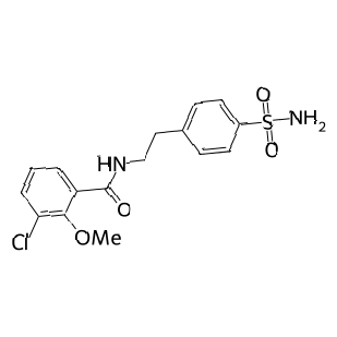 COc1c(Cl)cccc1C(=O)NCCc1ccc(S(N)(=O)=O)cc1